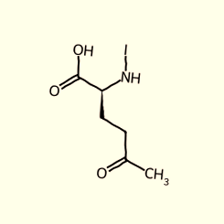 CC(=O)CC[C@H](NI)C(=O)O